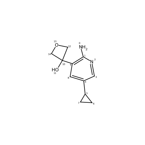 Nc1ncc(C2CC2)cc1C1(O)COC1